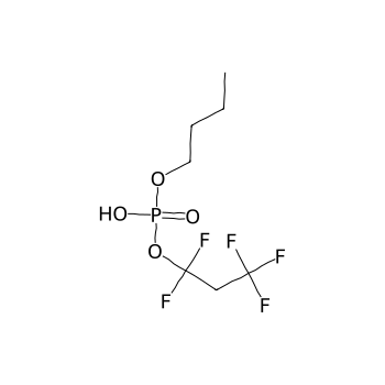 CCCCOP(=O)(O)OC(F)(F)CC(F)(F)F